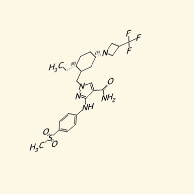 CC[C@@H]1CC[C@H](N2CC(C(F)(F)F)C2)CC1Cn1cc(C(N)=O)c(Nc2ccc(S(C)(=O)=O)cc2)n1